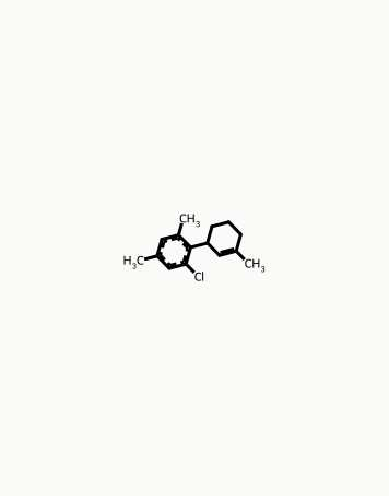 CC1=CC(c2c(C)cc(C)cc2Cl)CCC1